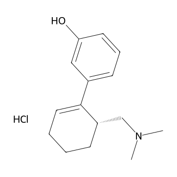 CN(C)C[C@@H]1CCCC=C1c1cccc(O)c1.Cl